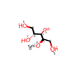 O=C(CO)[C@H](O)[C@H](O)CO.[Sn]